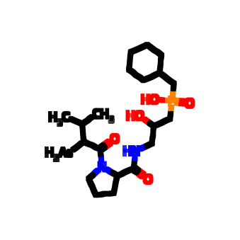 CC(C)C([AsH2])C(=O)N1CCCC1C(=O)NCC(O)CP(=O)(O)CC1CCCCC1